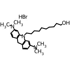 Br.CN(C)c1ccc2c(c1)N(CCCCCCCCCCO)c1cc(N(C)C)ccc1C2